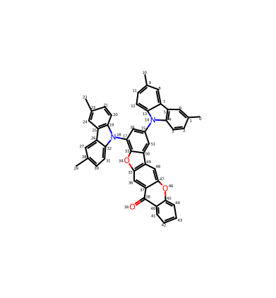 Cc1ccc2c(c1)c1cc(C)ccc1n2-c1cc(-n2c3ccc(C)cc3c3cc(C)ccc32)c2oc3cc4c(=O)c5ccccc5oc4cc3c2c1